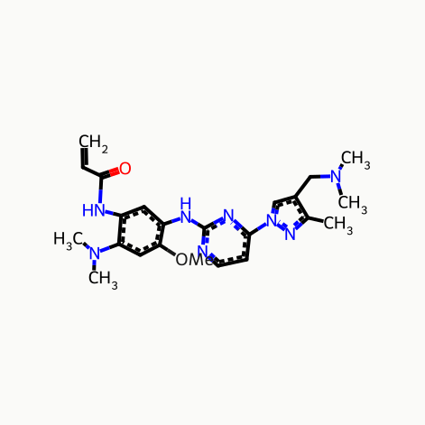 C=CC(=O)Nc1cc(Nc2nccc(-n3cc(CN(C)C)c(C)n3)n2)c(OC)cc1N(C)C